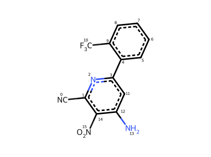 N#Cc1nc(-c2ccccc2C(F)(F)F)cc(N)c1[N+](=O)[O-]